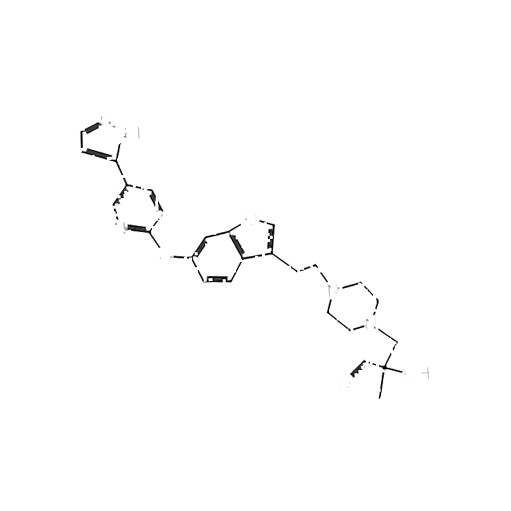 CC(O)(C=O)CN1CCN(CCc2coc3cc(Oc4ccc(-c5ccn[nH]5)cn4)ccc23)CC1